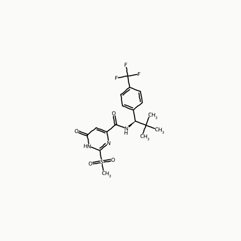 CC(C)(C)[C@@H](NC(=O)c1cc(=O)[nH]c(S(C)(=O)=O)n1)c1ccc(C(F)(F)F)cc1